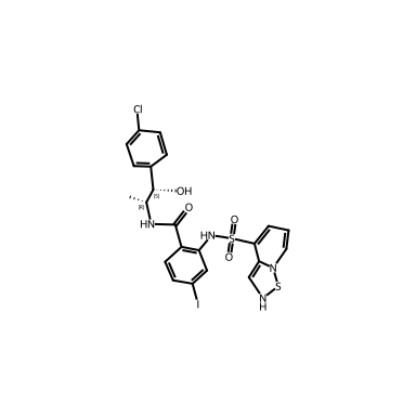 C[C@@H](NC(=O)c1ccc(I)cc1NS(=O)(=O)C1=CC=CN2SNC=C12)[C@@H](O)c1ccc(Cl)cc1